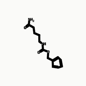 NC(=O)CCCCNC(=O)OCc1ccccc1